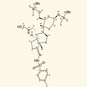 Cc1ccc(S(=O)(=O)N/N=C2\CC[C@H]3[C@H](CNC(=O)O)[C@@H]([C@@]4(C)CC[C@H](O[Si](C)(C)C(C)(C)C)C[C@@H]4CO[Si](C)(C)C(C)(C)C)CC[C@]23C)cc1